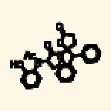 CC(=O)N(c1ccccc1O)[C@H]1CON(C2(C(c3ccccc3)c3ccccc3)CCC(=O)O2)C1=O